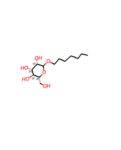 CCCCCCCOC1O[C@H](CO)[C@@H](O)[C@H](O)[C@@H]1O